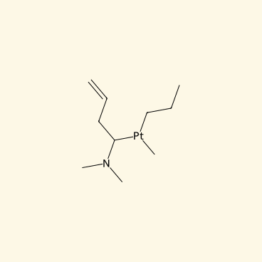 C=CC[CH](N(C)C)[Pt]([CH3])[CH2]CC